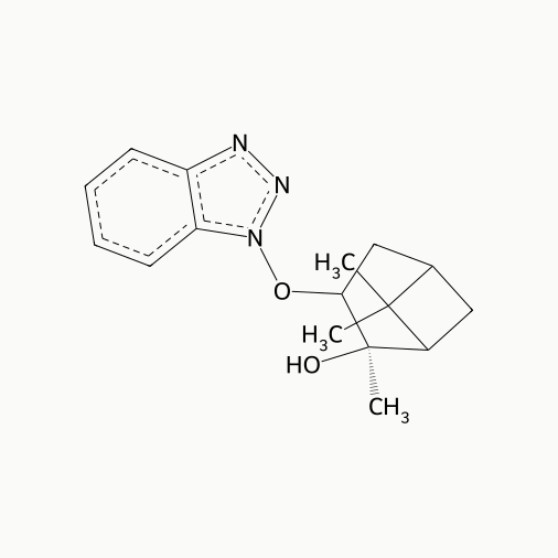 CC1(C)C2CC(On3nnc4ccccc43)[C@](C)(O)C1C2